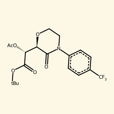 CC(=O)O[C@@H](C(=O)OC(C)(C)C)[C@H]1OCCN(c2ccc(C(F)(F)F)cc2)C1=O